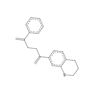 C=C(CCC(=C)c1ccc2c(c1)SCCC2)c1ccccc1